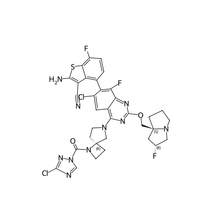 N#Cc1c(N)sc2c(F)ccc(-c3c(Cl)cc4c(N5CC[C@@]6(CCN6C(=O)n6cnc(Cl)n6)C5)nc(OC[C@@]56CCCN5C[C@H](F)C6)nc4c3F)c12